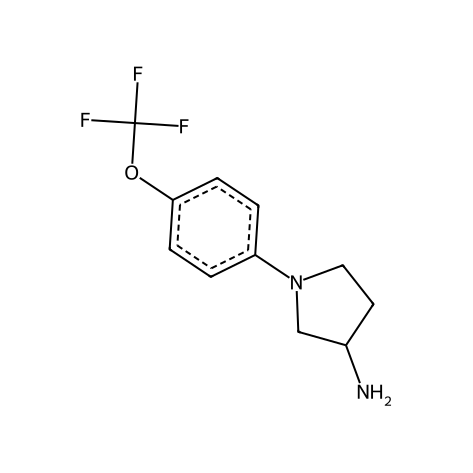 NC1CCN(c2ccc(OC(F)(F)F)cc2)C1